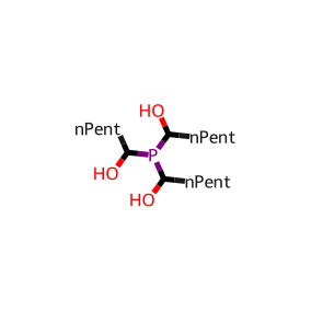 CCCCCC(O)P(C(O)CCCCC)C(O)CCCCC